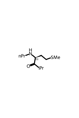 CCCN[C@@H](CCSC)C(=O)C(C)C